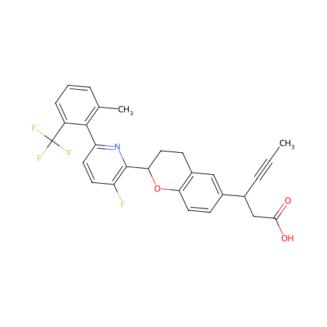 CC#CC(CC(=O)O)c1ccc2c(c1)CCC(c1nc(-c3c(C)cccc3C(F)(F)F)ccc1F)O2